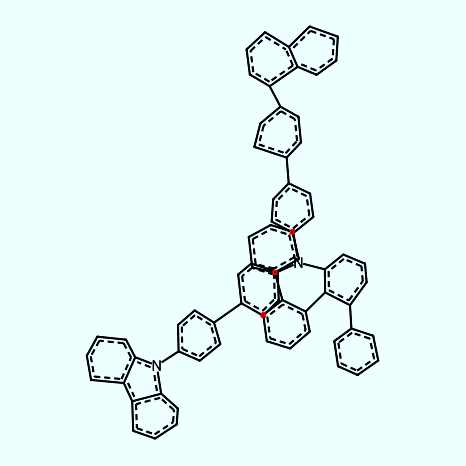 c1ccc(-c2ccccc2-c2c(-c3ccccc3)cccc2N(c2ccc(-c3ccc(-c4cccc5ccccc45)cc3)cc2)c2ccc(-c3ccc(-n4c5ccccc5c5ccccc54)cc3)cc2)cc1